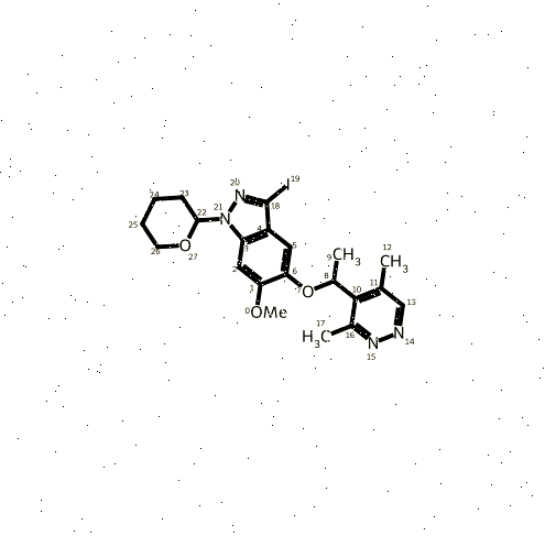 COc1cc2c(cc1OC(C)c1c(C)cnnc1C)c(I)nn2C1CCCCO1